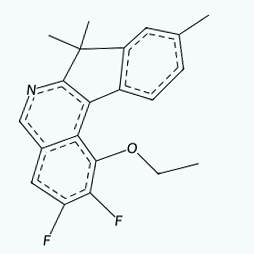 CCOc1c(F)c(F)cc2cnc3c(c12)-c1ccc(C)cc1C3(C)C